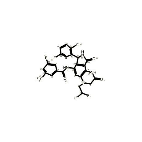 O=C1CN(CC(F)F)c2cc(NC(=O)c3cc(F)cc(C(F)(F)F)c3)c3c(c2N1)C(=O)NC3c1cc(F)ccc1Cl